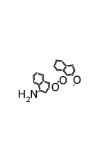 COc1ccc2ccccc2c1OC=O.Nc1cccc2ccccc12